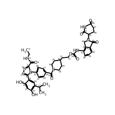 CCNC(=O)c1nnc(-c2cc(C(C)C)c(O)cc2O)n1-c1ccc(C(=O)N2CCC(CCOC(=O)Nc3cccc4c3CN(C3CCC(=O)NC3=O)C4=O)CC2)cc1